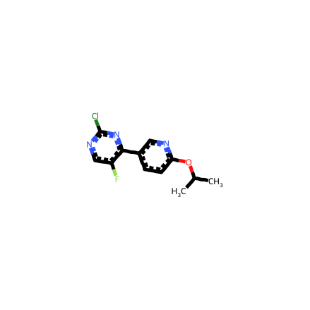 CC(C)Oc1ccc(-c2nc(Cl)ncc2F)cn1